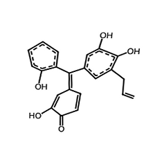 C=CCc1cc(/C(=C2\C=CC(=O)C(O)=C2)c2ccccc2O)cc(O)c1O